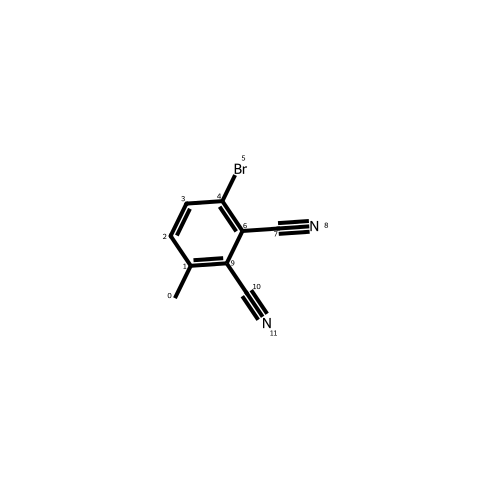 Cc1ccc(Br)c(C#N)c1C#N